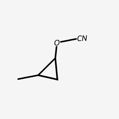 CC1CC1OC#N